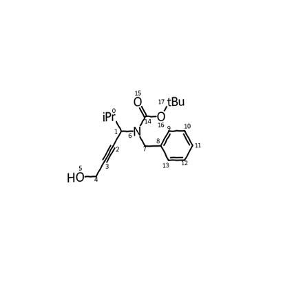 CC(C)C(C#CCO)N(Cc1ccccc1)C(=O)OC(C)(C)C